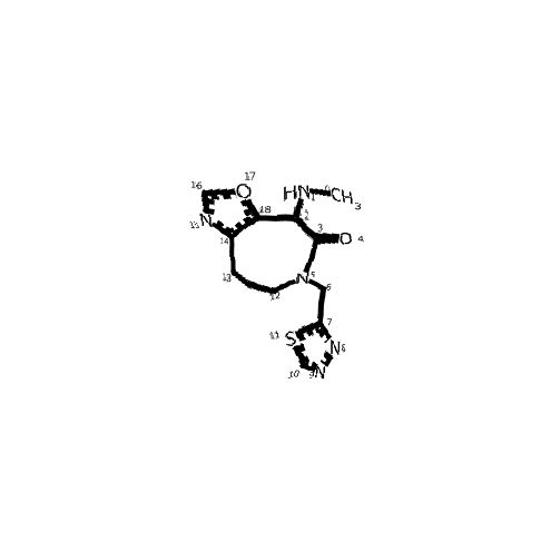 CNC1C(=O)N(Cc2nncs2)CCc2ncoc21